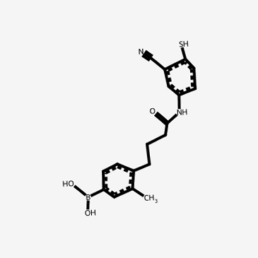 Cc1cc(B(O)O)ccc1CCCC(=O)Nc1ccc(S)c(C#N)c1